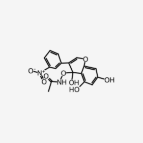 CC(=O)NOC1(O)C(c2cccc([N+](=O)[O-])c2)=COc2cc(O)cc(O)c21